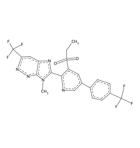 CCS(=O)(=O)c1cc(-c2ccc(C(F)(F)F)cc2)cnc1-c1nc2cc(C(F)(F)F)nnc2n1C